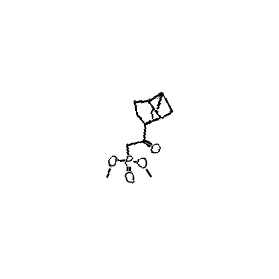 COP(=O)(CC(=O)C12CCC3C(CC31)C2)OC